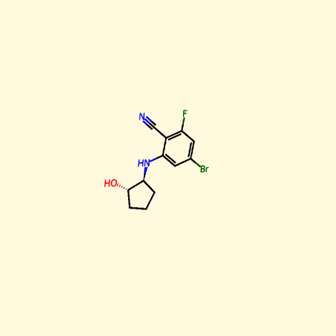 N#Cc1c(F)cc(Br)cc1N[C@H]1CCC[C@@H]1O